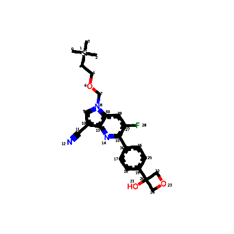 C[Si](C)(C)CCOCn1cc(C#N)c2nc(-c3ccc(C4(O)COC4)cc3)c(F)cc21